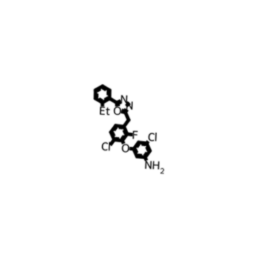 CCc1ccccc1-c1nnc(Cc2ccc(Cl)c(Oc3cc(N)cc(Cl)c3)c2F)o1